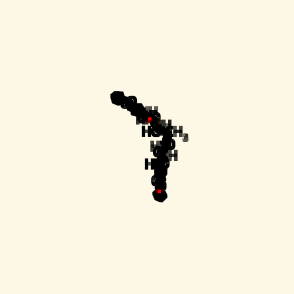 CN(CCC(=O)NCC(=O)NCC(=O)Nc1ccc(CC(=O)OCc2ccccc2)cc1)CCC(O)NCC(=O)NCC(=O)Nc1ccc(CC(=O)OCc2ccccc2)cc1